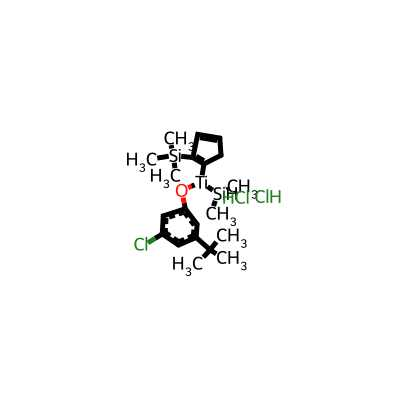 C[SiH](C)[Ti]([O]c1cc(Cl)cc(C(C)(C)C)c1)[C]1=C([Si](C)(C)C)C=CC1.Cl.Cl